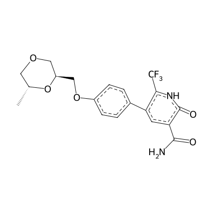 C[C@@H]1COC[C@@H](COc2ccc(-c3cc(C(N)=O)c(=O)[nH]c3C(F)(F)F)cc2)O1